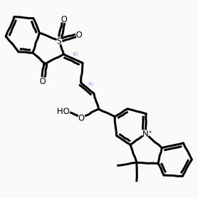 CC1(C)c2ccccc2-[n+]2ccc(C(/C=C/C=C3\C(=O)c4ccccc4S3(=O)=O)OO)cc21